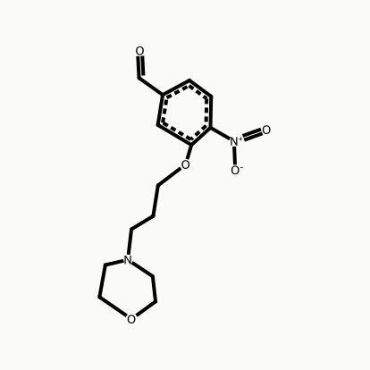 O=Cc1ccc([N+](=O)[O-])c(OCCCN2CCOCC2)c1